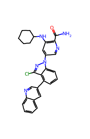 NC(=O)c1ncc(-n2nc(Cl)c3c(-c4cnc5ccccc5c4)cccc32)cc1NC1CCCCC1